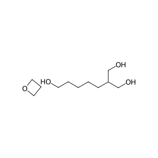 C1COC1.OCCCCCC(CO)CO